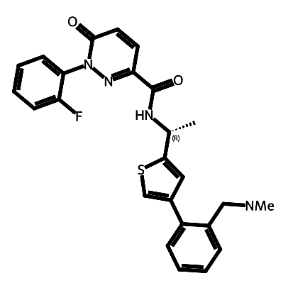 CNCc1ccccc1-c1csc([C@@H](C)NC(=O)c2ccc(=O)n(-c3ccccc3F)n2)c1